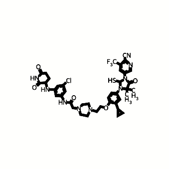 CC1(C)C(=O)N(c2cnc(C#N)c(C(F)(F)F)c2)C(S)N1c1ccc(OCCN2CCN(CC(=O)Nc3cc(Cl)cc(NC4CCC(=O)NC4=O)c3)CC2)c(C2CC2)c1